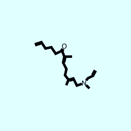 C=CCCCC(=O)C(C)=CCCC(C)=CCN(C)CC=C